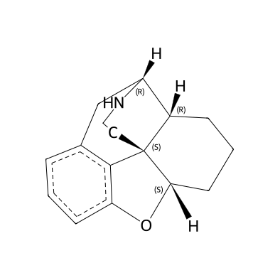 c1cc2c3c(c1)O[C@H]1CCC[C@H]4[C@@H](C2)NCC[C@]314